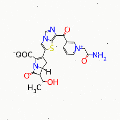 C[C@@H](O)[C@H]1C(=O)N2C(C(=O)[O-])=C(c3cn4cnc(C(=O)c5ccc[n+](CC(N)=O)c5)c4s3)C[C@H]12